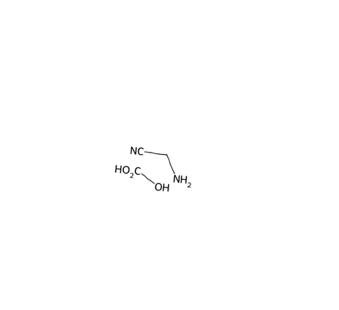 N#CCN.O=C(O)O